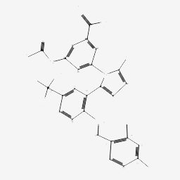 CC(=O)Nc1cc(C(=O)O)cc(-n2c(C)ccc2-c2cc(C(F)(F)F)ccc2OCc2ccc(F)cc2F)c1